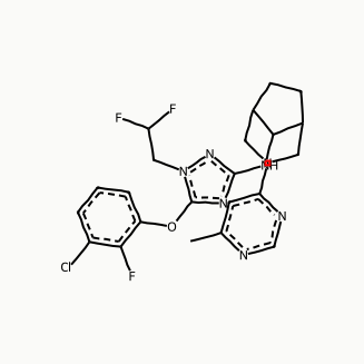 Cc1cc(N2CC3CCC(C2)C3Nc2nc(Oc3cccc(Cl)c3F)n(CC(F)F)n2)ncn1